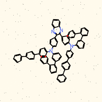 c1ccc(-c2ccc(-c3ccc(N(c4ccc(-c5nc6ccccc6nc5-c5ccc(N(c6ccc(-c7ccc(-c8ccccc8)cc7)cc6)c6cccc(-c7ccccc7-c7ccccc7)c6)cc5)cc4)c4cccc(-c5ccccc5-c5ccccc5)c4)cc3)cc2)cc1